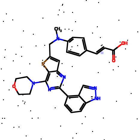 CN(Cc1cc2nc(-c3cccc4[nH]ncc34)nc(N3CCOCC3)c2s1)c1ccc(/C=C/C(=O)O)cc1